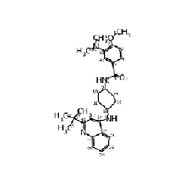 COc1ccc(C(=O)NC2CCC(Nc3cc(C(C)(C)C)nc4ccccc34)CC2)cc1N(C)C